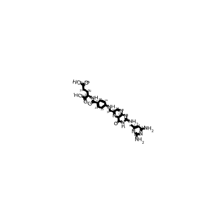 Cc1cc(N)nc(N)n1.Nc1nc2ncc(CNc3ccc(C(=O)NC(CCC(=O)O)C(=O)O)cc3)nc2c(=O)[nH]1